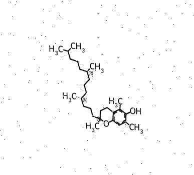 Cc1cc2c(c(C)c1O)CC[C@@](C)(CCC[C@H](C)CCC[C@H](C)CCCC(C)C)O2